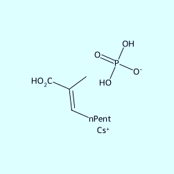 CCCCCC=C(C)C(=O)O.O=P([O-])(O)O.[Cs+]